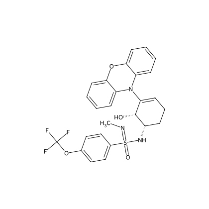 CN=S(=O)(N[C@H]1CCC=C(N2c3ccccc3Oc3ccccc32)[C@H]1O)c1ccc(OC(F)(F)F)cc1